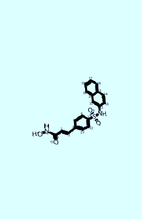 O=C(C=Cc1ccc(S(=O)(=O)Nc2ccc3ccccc3c2)cc1)NO